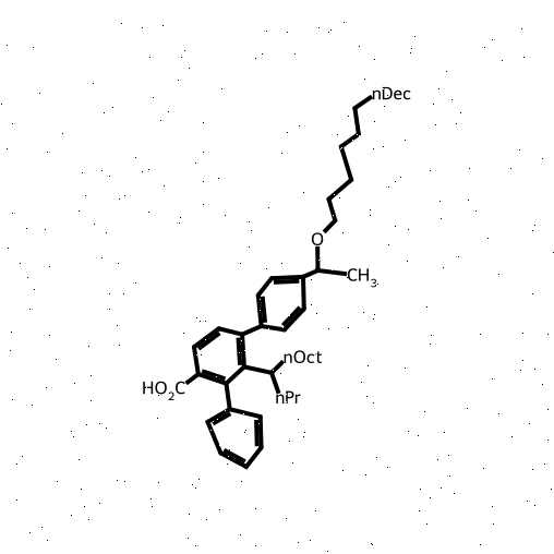 CCCCCCCCCCCCCCCCOC(C)c1ccc(-c2ccc(C(=O)O)c(-c3ccccc3)c2C(CCC)CCCCCCCC)cc1